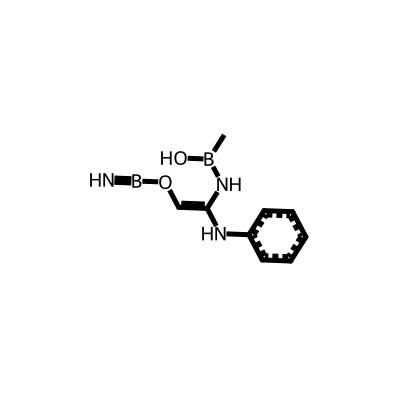 CB(O)N/C(=C\OB=N)Nc1ccccc1